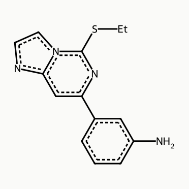 CCSc1nc(-c2cccc(N)c2)cc2nccn12